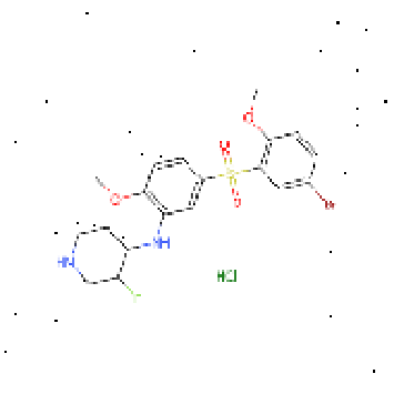 COc1ccc(S(=O)(=O)c2cc(Br)ccc2OC)cc1NC1CCNCC1F.Cl